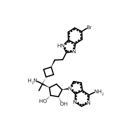 CC(N)([C@H]1C[C@H](CCc2nc3cc(Br)ccc3[nH]2)C1)[C@H]1C[C@@H](n2ccc3c(N)ncnc32)[C@H](O)[C@@H]1O